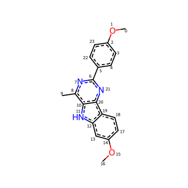 COc1ccc(-c2nc(C)c3[nH]c4cc(OC)ccc4c3n2)cc1